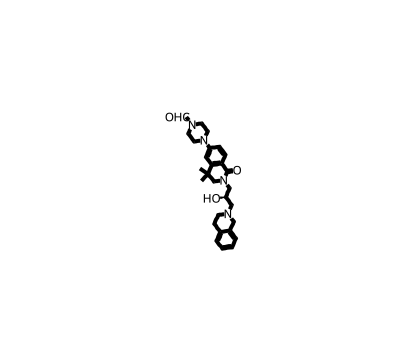 CC1(C)CN(C[C@H](O)CN2CCc3ccccc3C2)C(=O)c2ccc(N3CCN(C=O)CC3)cc21